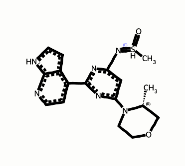 C[C@@H]1COCCN1c1cc(/N=[SH](\C)=O)nc(-c2ccnc3[nH]ccc23)n1